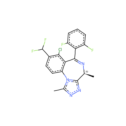 Cc1nnc2n1-c1ccc(C(F)F)c(Cl)c1C(c1c(F)cccc1F)=N[C@H]2C